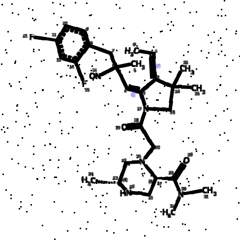 C/C=C1\C(=C/C(C)(Cc2ccc(F)cc2F)N=O)N(C(=O)CN2C[C@@H](C)NC[C@@H]2C(=O)N(C)C)CC1(C)C